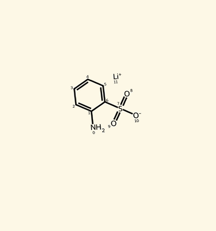 Nc1ccccc1S(=O)(=O)[O-].[Li+]